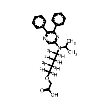 [2H]C([2H])(OCC(=O)O)C([2H])([2H])C([2H])([2H])C([2H])([2H])N(c1cnc(-c2ccccc2)c(-c2ccccc2)n1)C(C)C